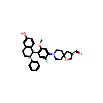 COc1cc(N2CCC3(CC2)C[C@@H](C=O)CO3)c(F)cc1[C@@H]1c2ccc(O)cc2CC[C@@H]1c1ccccc1